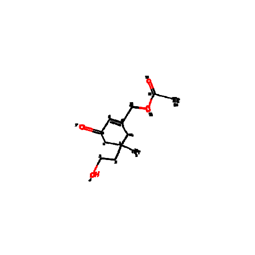 CCCC1(CCO)CC(=O)C=C(COC(=O)CC)C1